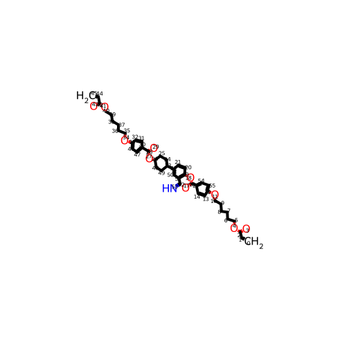 C=CC(=O)OCCCCCCOc1ccc(C(=O)Oc2ccc(C3CCC(OC(=O)c4ccc(OCCCCCCOC(=O)C=C)cc4)CC3)cc2C=N)cc1